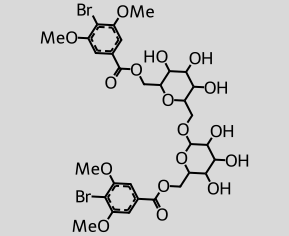 COc1cc(C(=O)OCC2OC(COC3OC(COC(=O)c4cc(OC)c(Br)c(OC)c4)C(O)C(O)C3O)C(O)C(O)C2O)cc(OC)c1Br